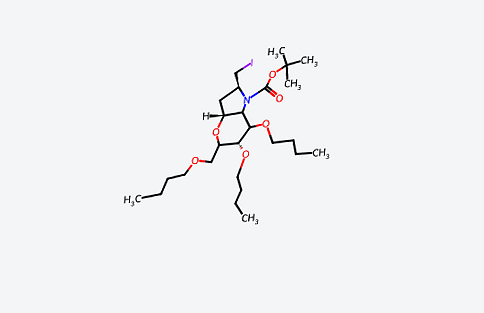 CCCCOCC1O[C@@H]2C[C@@H](CI)N(C(=O)OC(C)(C)C)C2C(OCCCC)[C@@H]1OCCCC